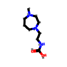 CN1CCCN(CCNC(=O)O)CC1